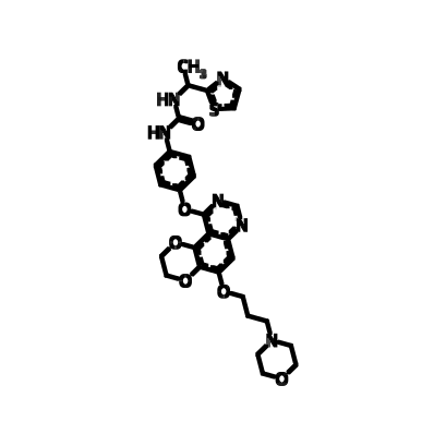 CC(NC(=O)Nc1ccc(Oc2ncnc3cc(OCCCN4CCOCC4)c4c(c23)OCCO4)cc1)c1nccs1